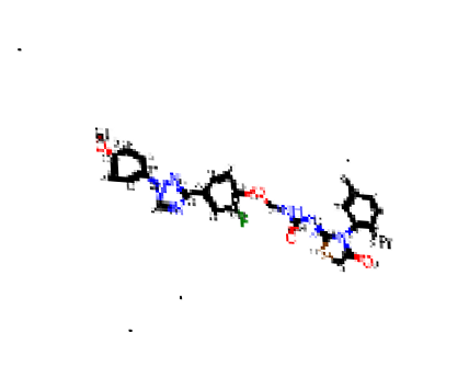 Cc1ccc(C(C)C)c(N2C(=O)CS/C2=N\C(=O)NCOc2ccc(-c3ncn(-c4ccc(OC(F)(F)F)cc4)n3)cc2F)c1